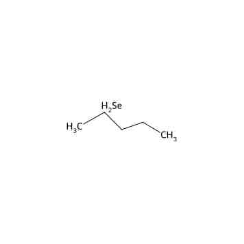 CCCCC.[SeH2]